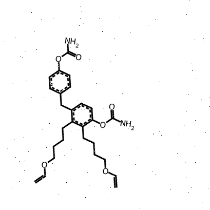 C=COCCCCc1c(Cc2ccc(OC(N)=O)cc2)ccc(OC(N)=O)c1CCCCOC=C